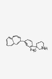 OC1(c2ccc(-c3ccc4ccccc4c3)cc2)CCCNC1